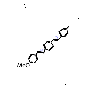 COc1ccc(/C=C/c2ccc(/C=C/c3ccc(C)cc3)cc2)cc1